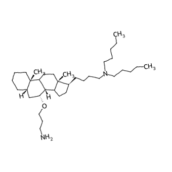 CCCCCN(CCCCC)CCCC[C@H]1CCC2[C@H]3C(CC[C@@]21C)[C@@]1(C)CCCC[C@H]1C[C@H]3OCCCN